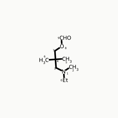 CCN(C)CC(C)(C)COC=O